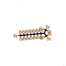 BrC(Br)(Br)[C](C(Br)(Br)Br)C(Br)(Br)C(Br)(Br)C(Br)(Br)C(Br)(Br)C(Br)(Br)C(Br)(Br)C(Br)(Br)Br